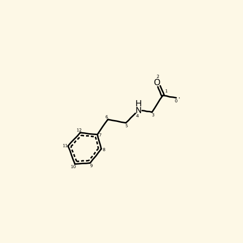 [CH2]C(=O)CNCCc1ccccc1